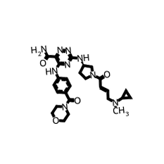 CN(CC=CC(=O)N1CC[C@@H](Nc2nnc(C(N)=O)c(Nc3ccc(C(=O)N4CCOCC4)cc3)n2)C1)C1CC1